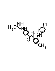 CC(=N)CNc1ccc(C(=O)Nc2ccc(C)cc2C(=O)Nc2ccc(Cl)cn2)cc1